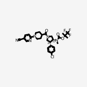 CN(C(=O)OC(C)(C)C(F)(F)F)[C@@H]1CN(C(=O)C2CCN(c3ccc(C#N)cn3)CC2)C[C@H]1c1ccc(Cl)cc1